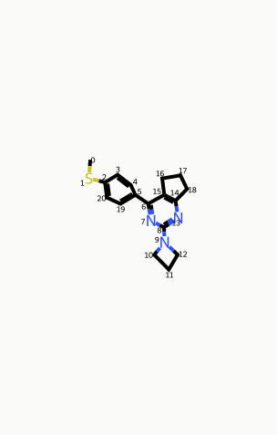 CSc1ccc(-c2nc(N3CCC3)nc3c2CCC3)cc1